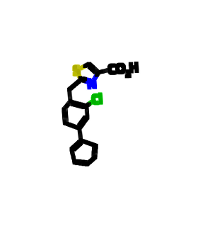 O=C(O)c1csc(Cc2ccc(-c3ccccc3)cc2Cl)n1